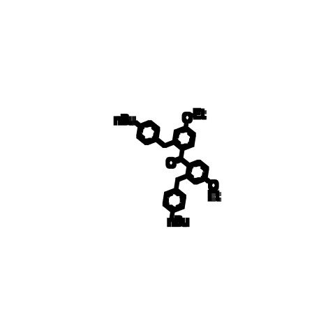 CCCCc1ccc(Cc2cc(OCC)ccc2C(=O)c2ccc(OCC)cc2Cc2ccc(CCCC)cc2)cc1